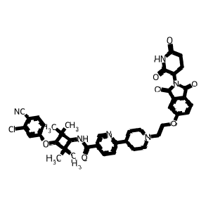 CC1(C)C(NC(=O)c2ccc(C3CCN(CCOc4ccc5c(c4)C(=O)N(C4CCC(=O)NC4=O)C5=O)CC3)nc2)C(C)(C)C1Oc1ccc(C#N)c(Cl)c1